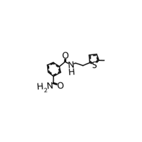 Cc1ccc(CCNC(=O)c2cccc(C(N)=O)c2)s1